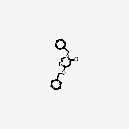 O=c1cc(OCc2ccccc2)ncn1Cc1ccccc1